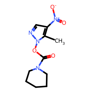 Cc1c([N+](=O)[O-])cnn1OC(=O)N1CCCCC1